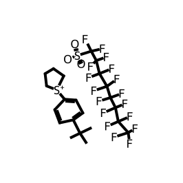 CC(C)(C)c1ccc([S+]2CCCC2)cc1.O=S(=O)([O-])C(F)(F)C(F)(F)C(F)(F)C(F)(F)C(F)(F)C(F)(F)C(F)(F)C(F)(F)F